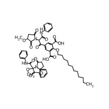 CCCCCCCCCCCCOc1c(C(=O)O)cc(C(=O)C(C(=O)Nc2ccccc2)N2C(=O)CC(OC)C2=O)cc1C(=O)O.COC(C(=O)Nc1ccccc1)(C(=O)c1ccccc1)N1C(=O)CCC1=O